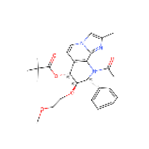 COCCO[C@H]1[C@H](OC(=O)C(C)(C)C)c2ccn3cc(C)nc3c2N(C(C)=O)[C@@H]1c1ccccc1